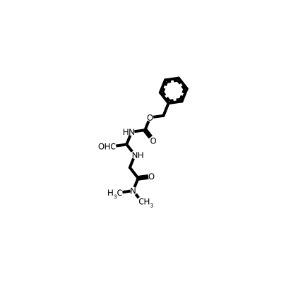 CN(C)C(=O)CNC(C=O)NC(=O)OCc1ccccc1